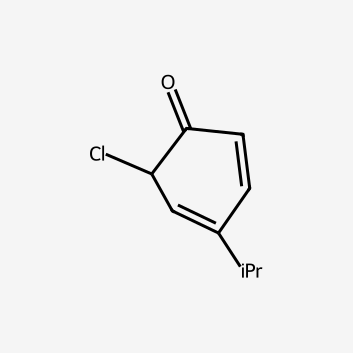 CC(C)C1=CC(Cl)C(=O)C=C1